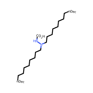 CCCCCCCCCCCCCCCCCCN(CCCCCCCCCCCCCCCCCC)NC(=O)O